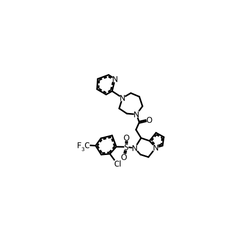 O=C(CC1c2cccn2CCN1S(=O)(=O)c1ccc(C(F)(F)F)cc1Cl)N1CCCN(c2ccccn2)CC1